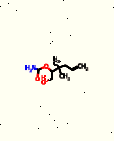 C=CCC(C)(C)C(CO)OC(N)=O